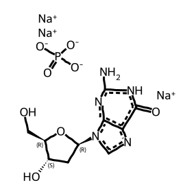 Nc1nc2c(ncn2[C@H]2C[C@H](O)[C@@H](CO)O2)c(=O)[nH]1.O=P([O-])([O-])[O-].[Na+].[Na+].[Na+]